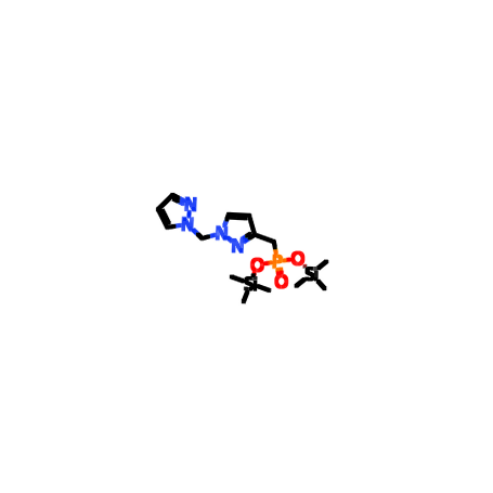 C[Si](C)(C)OP(=O)(Cc1ccn(Cn2cccn2)n1)O[Si](C)(C)C